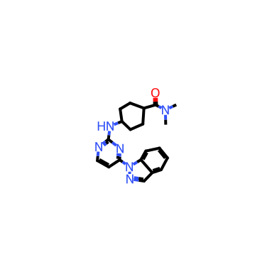 CN(C)C(=O)C1CCC(Nc2nccc(-n3ncc4ccccc43)n2)CC1